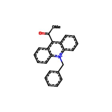 COC(=O)c1c2ccccc2[n+](Cc2ccccc2)c2ccccc12